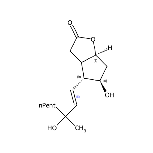 CCCCCC(C)(O)/C=C/[C@@H]1C2CC(=O)O[C@H]2C[C@H]1O